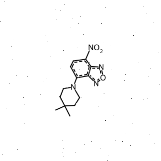 CC1(C)CCN(c2ccc([N+](=O)[O-])c3nonc23)CC1